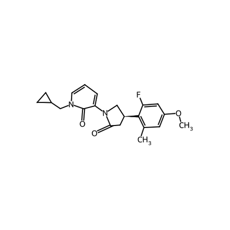 COc1cc(C)c([C@H]2CC(=O)N(c3cccn(CC4CC4)c3=O)C2)c(F)c1